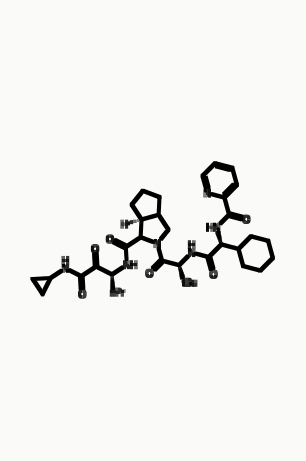 CCC[C@H](NC(=O)C1[C@H]2CCCC2CN1C(=O)[C@@H](NC(=O)[C@@H](NC(=O)c1ccccn1)C1CCCCC1)C(C)(C)C)C(=O)C(=O)NC1CC1